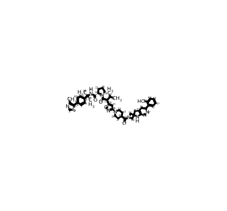 Cc1ncsc1-c1ccc(C(C)(C)NC(=O)[C@@H]2CCCN2C(=O)C(c2cc(N3CCC(C(=O)N4CC5(Cc6cc(-c7ccccc7O)nnc6N5)C4)CC3)no2)C(C)C)cc1